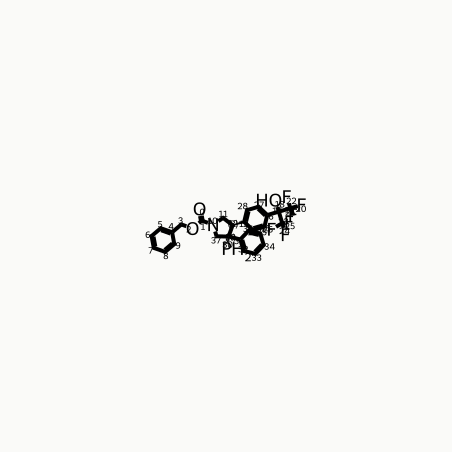 O=C(OCc1ccccc1)N1C[C@@H](c2ccc(C(O)(C(F)(F)F)C(F)(F)F)cc2)[C@@](P)(c2ccccc2)C1